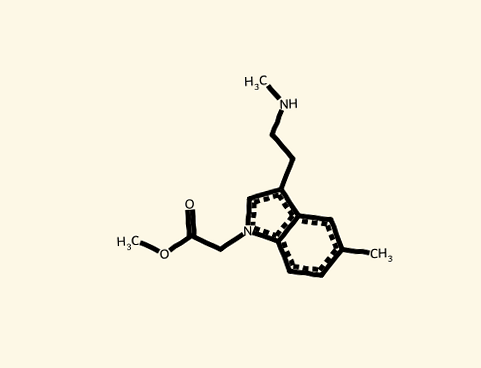 CNCCc1cn(CC(=O)OC)c2ccc(C)cc12